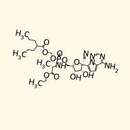 CCCC(CCC)C(=O)OCOP(=O)(N[C@@H](C)C(=O)OCC)OC[C@H]1O[C@@](C#N)(c2ccc3c(N)ncnn23)[C@H](O)[C@@H]1O